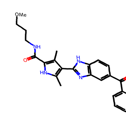 COCCCNC(=O)c1[nH]c(C)c(-c2nc3cc(C(=O)c4ccccc4)ccc3[nH]2)c1C